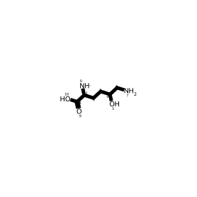 [NH]C(CCC(O)CN)C(=O)O